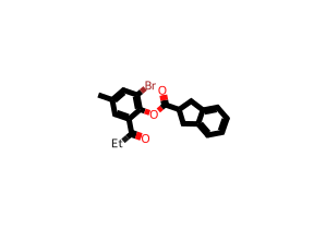 CCC(=O)c1cc(C)cc(Br)c1OC(=O)C1Cc2ccccc2C1